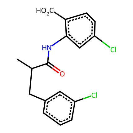 CC(Cc1cccc(Cl)c1)C(=O)Nc1cc(Cl)ccc1C(=O)O